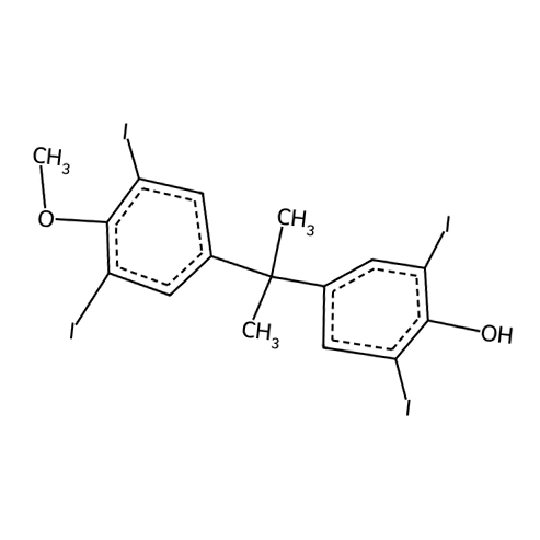 COc1c(I)cc(C(C)(C)c2cc(I)c(O)c(I)c2)cc1I